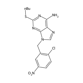 CCCCSc1nc(N)c2ncn(Cc3cc([N+](=O)[O-])ccc3Cl)c2n1